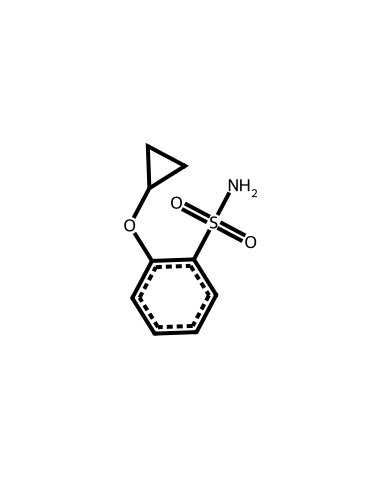 NS(=O)(=O)c1ccccc1OC1CC1